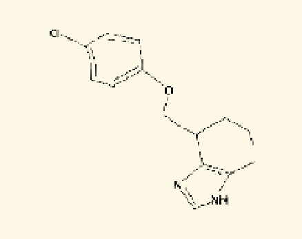 Clc1ccc(OCC2CCCc3[nH]cnc32)cc1